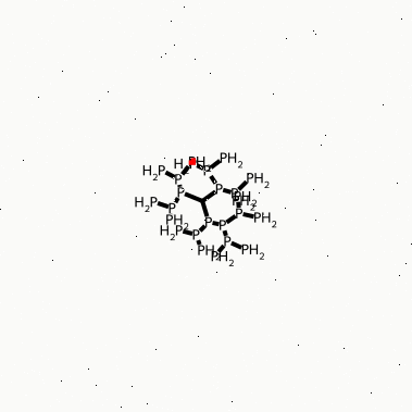 PP(P)P(C(P(P(P)P)P(P)P)P(P(P)P)P(P(P)P)P(P)P)P(P)P